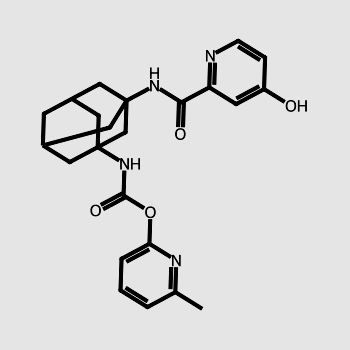 Cc1cccc(OC(=O)NC23CC4CC(C2)CC(NC(=O)c2cc(O)ccn2)(C4)C3)n1